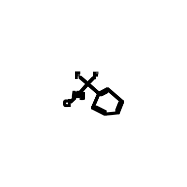 F[C](F)([Mg][Cl])c1ccccc1